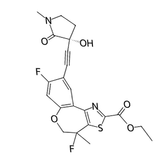 CCOC(=O)c1nc2c(s1)C(C)(F)COc1cc(F)c(C#C[C@]3(O)CCN(C)C3=O)cc1-2